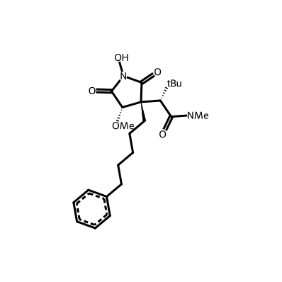 CNC(=O)[C@@H](C(C)(C)C)[C@@]1(CCCCCc2ccccc2)C(=O)N(O)C(=O)[C@H]1OC